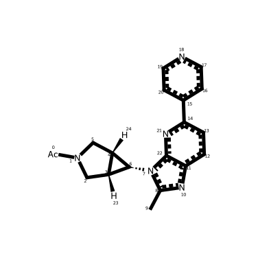 CC(=O)N1C[C@@H]2[C@H](C1)[C@@H]2n1c(C)nc2ccc(-c3ccncc3)nc21